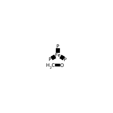 C=O.[P]#[Fe](#[P])#[P]